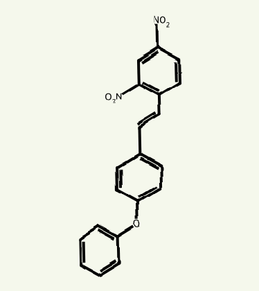 O=[N+]([O-])c1ccc(C=Cc2ccc(Oc3ccccc3)cc2)c([N+](=O)[O-])c1